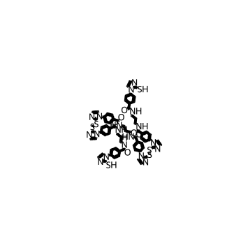 O=C(NCCCNC(=O)c1ccc(-n2ccnc2SSc2nccn2-c2ccc(C(=O)NCCCNC(=O)c3ccc(-n4ccnc4SSc4nccn4-c4ccc(C(=O)NCCCNC(=O)c5ccc(-n6ccnc6S)cc5)cc4)cc3)cc2)cc1)c1ccc(-n2ccnc2S)cc1